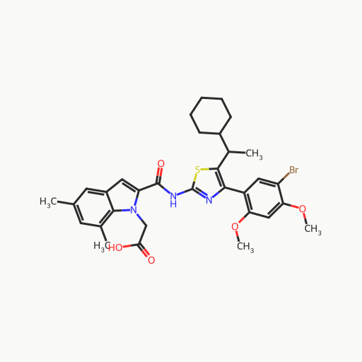 COc1cc(OC)c(-c2nc(NC(=O)c3cc4cc(C)cc(C)c4n3CC(=O)O)sc2C(C)C2CCCCC2)cc1Br